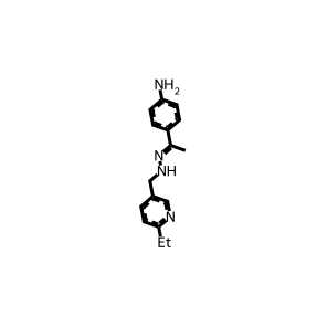 CCc1ccc(CN/N=C(\C)c2ccc(N)cc2)cn1